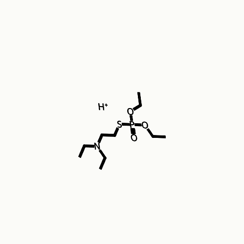 CCOP(=O)(OCC)SCCN(CC)CC.[H+]